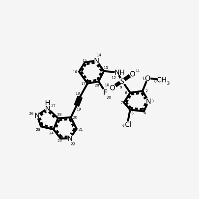 COc1ncc(Cl)cc1S(=O)(=O)Nc1nccc(C#Cc2cncc3cn[nH]c23)c1F